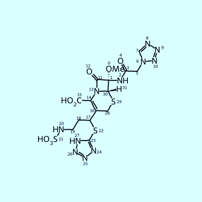 CO[C@@]1(NC(=O)Cn2cnnn2)C(=O)N2C(C(=O)O)=C(C(CCNS(=O)(=O)O)Sc3nnn[nH]3)CS[C@H]21